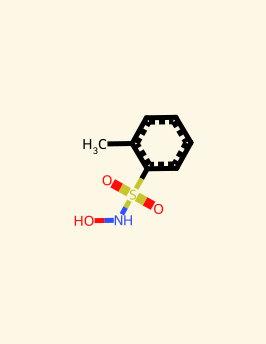 Cc1ccccc1S(=O)(=O)NO